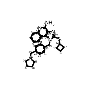 Nc1nc2ccccc2c2c1nc(SC1CCC1)n2Cc1ccc(CN2CCCC2)cc1